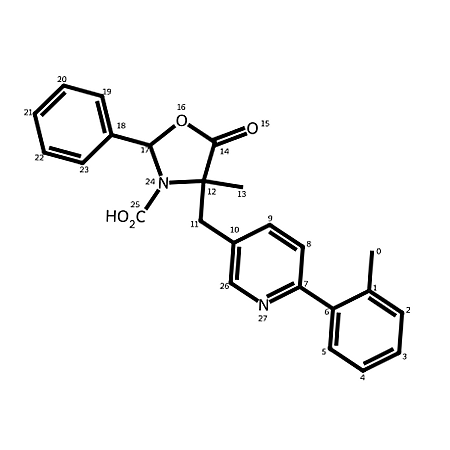 Cc1ccccc1-c1ccc(CC2(C)C(=O)OC(c3ccccc3)N2C(=O)O)cn1